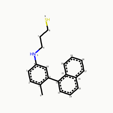 Cc1ccc(NCCCS)cc1-c1cccc2ccccc12